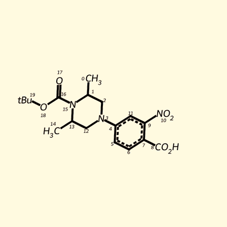 CC1CN(c2ccc(C(=O)O)c([N+](=O)[O-])c2)CC(C)N1C(=O)OC(C)(C)C